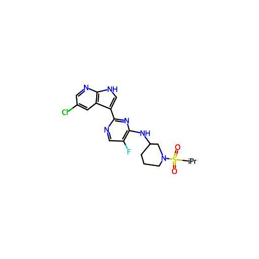 CC(C)S(=O)(=O)N1CCCC(Nc2nc(-c3c[nH]c4ncc(Cl)cc34)ncc2F)C1